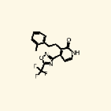 Cc1ccccc1CCc1c(-c2noc(C(F)(F)F)n2)cc[nH]c1=O